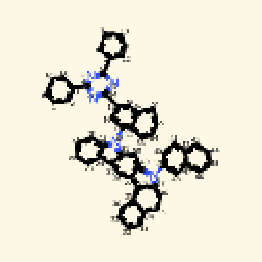 c1ccc(-c2nc(-c3ccccc3)nc(-c3cc(-n4c5ccccc5c5cc6c7c8ccccc8ccc7n(-c7ccc8ccccc8c7)c6cc54)c4ccccc4c3)n2)cc1